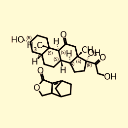 C[C@]12CC[C@@H](O)C[C@H]1CC[C@@H]1[C@@H]2C(=O)C[C@@]2(C)[C@H]1CC[C@]2(O)C(=O)CO.O=C1OCC2C1=C1CCC2C1